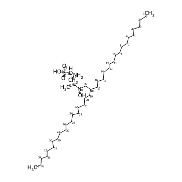 CCCCCCCCCCCCCCCCCCC(CCCCCCCCCCCCCCCCCC)CN(O)CC.CN.O=S(=O)(O)O